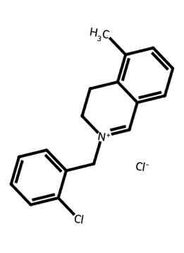 Cc1cccc2c1CC[N+](Cc1ccccc1Cl)=C2.[Cl-]